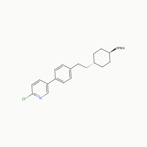 CCCCCC[C@H]1CC[C@H](CCc2ccc(-c3ccc(Cl)nc3)cc2)CC1